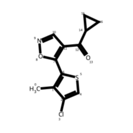 Cc1c(Cl)csc1-c1oncc1C(=O)C1CC1